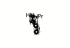 CC(C)Nc1c[nH]nc1-c1nc(-c2ccc(Oc3ccccc3)cc2)no1